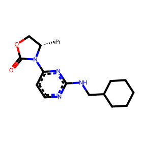 CC(C)[C@H]1COC(=O)N1c1ccnc(NCC2CCCCC2)n1